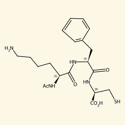 CC(=O)N[C@@H](CCCCN)C(=O)N[C@@H](Cc1ccccc1)C(=O)N[C@@H](CS)C(=O)O